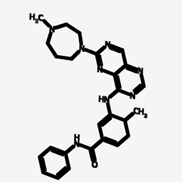 CC1CC=C(C(=O)Nc2ccccc2)C=C1Nc1ncnc2cnc(N3CCCN(C)CC3)nc12